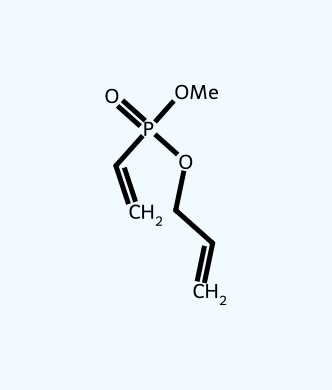 C=CCOP(=O)(C=C)OC